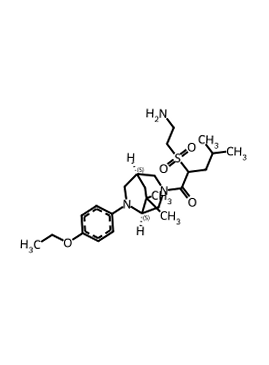 CCOc1ccc(N2C[C@H]3CN(C(=O)C(CC(C)C)S(=O)(=O)CCN)C[C@@H]2C(C)(C)C3)cc1